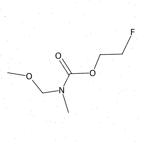 COCN(C)C(=O)OCCF